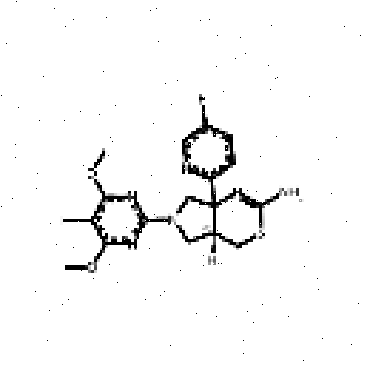 COc1nc(N2C[C@H]3CSC(N)=NC3(c3ccc(F)cn3)C2)nc(OC)c1F